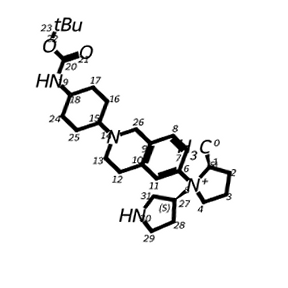 C[C@H]1CCC[N+]1(c1ccc2c(c1)CCN(C1CCC(NC(=O)OC(C)(C)C)CC1)C2)[C@H]1CCNC1